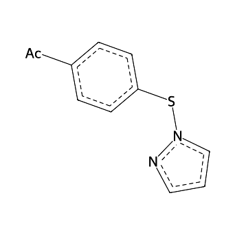 CC(=O)c1ccc(Sn2cccn2)cc1